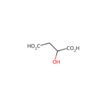 O=C(O)C[C](O)C(=O)O